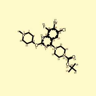 CN1CCC(Oc2nc(N3CCN(C(=O)OC(C)(C)C)CC3)c3cc(Cl)c(Br)c(F)c3n2)CC1